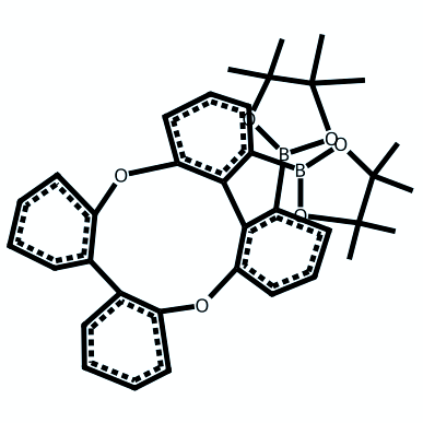 CC1(C)OB(c2cccc3c2-c2c(cccc2B2OC(C)(C)C(C)(C)O2)Oc2ccccc2-c2ccccc2O3)OC1(C)C